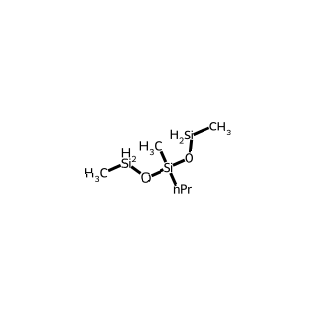 CCC[Si](C)(O[SiH2]C)O[SiH2]C